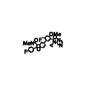 CNC(=O)c1c(-c2ccc(F)cc2)oc2ccc(-c3cc(C(=O)N(c4cnccn4)C4CC4)c(OC)cc3C)c(F)c12